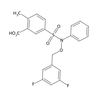 Cc1ccc(S(=O)(=O)N(OCc2cc(F)cc(F)c2)c2ccccc2)cc1C(=O)O